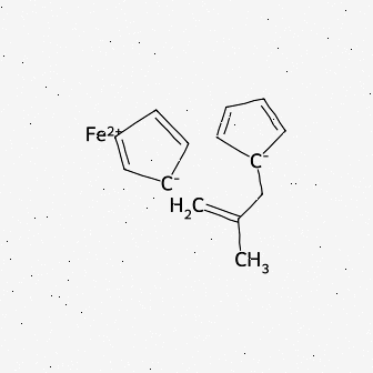 C=C(C)C[c-]1cccc1.[Fe+2].c1cc[cH-]c1